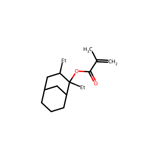 C=C(C)C(=O)OC1(CC)C(CC)CC2CCCC1C2